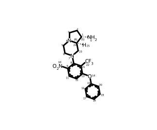 N[C@H]1CCN2CCN(c3c([N+](=O)[O-])ccc(Oc4ccccc4)c3C(F)(F)F)C[C@H]12